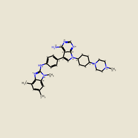 Cc1cc(C)c2nc(Nc3ccc(-c4cn(C5CCC(N6CCN(C)CC6)CC5)c5ncnc(N)c45)cc3)n(C)c2c1